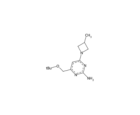 CC1CN(c2cc(COC(C)(C)C)nc(N)n2)C1